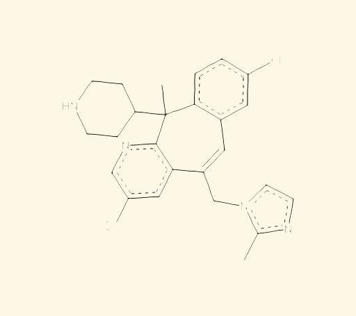 Cc1nccn1CC1=Cc2cc(Cl)ccc2C(C)(C2CCNCC2)c2ncc(Br)cc21